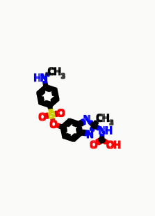 CNc1ccc(S(=O)(=O)Oc2ccc3c(c2)=NC(C)(NC(=O)O)N=3)cc1